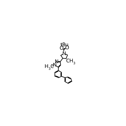 CC1CN(C(=O)OC(C)(C)C)CC1c1cc(-c2cccc(-c3ccccc3)c2)n(C)n1